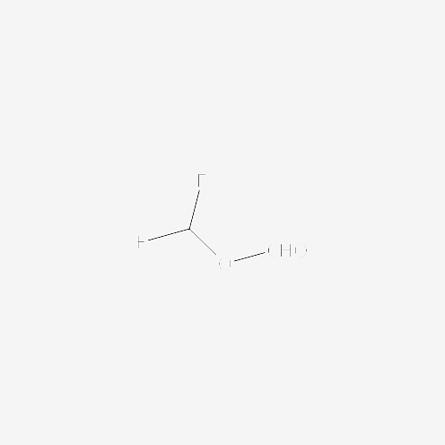 O=COC(F)F